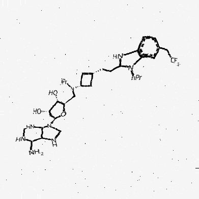 CCCN1c2cc(CC(F)(F)F)ccc2NC1CC[C@H]1C[C@@H](N(C[C@H]2O[C@@H](N3CNC4C(N)NCNC43)[C@H](O)[C@@H]2O)C(C)C)C1